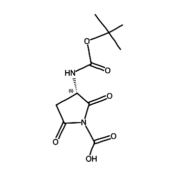 CC(C)(C)OC(=O)N[C@H]1CC(=O)N(C(=O)O)C1=O